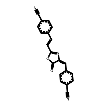 N#Cc1ccc(C=CC2=NC(=Cc3ccc(C#N)cc3)C(=O)O2)cc1